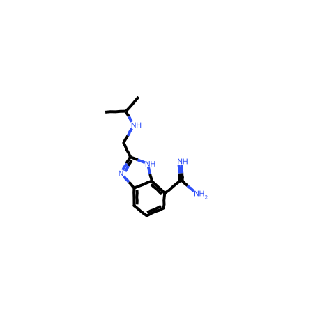 CC(C)NCc1nc2cccc(C(=N)N)c2[nH]1